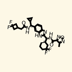 Cc1nonc1C(=O)N[C@H](c1nc2ccc([C@H](NC(=O)CC3CC(F)(F)C3)C3CC3)cc2[nH]1)[C@@H]1CCCC(F)(F)C1